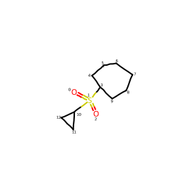 O=S(=O)(C1C[CH]CCCC1)C1CC1